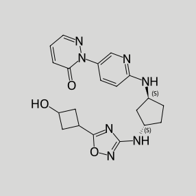 O=c1cccnn1-c1ccc(N[C@H]2CC[C@H](Nc3noc(C4CC(O)C4)n3)C2)nc1